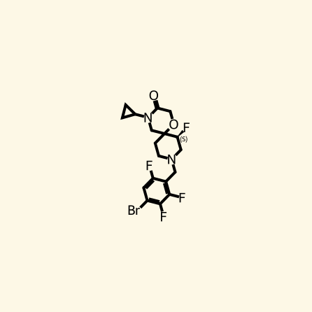 O=C1COC2(CCN(Cc3c(F)cc(Br)c(F)c3F)C[C@@H]2F)CN1C1CC1